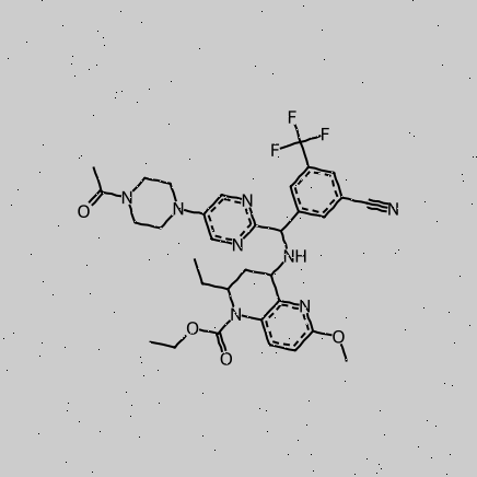 CCOC(=O)N1c2ccc(OC)nc2C(NC(c2cc(C#N)cc(C(F)(F)F)c2)c2ncc(N3CCN(C(C)=O)CC3)cn2)CC1CC